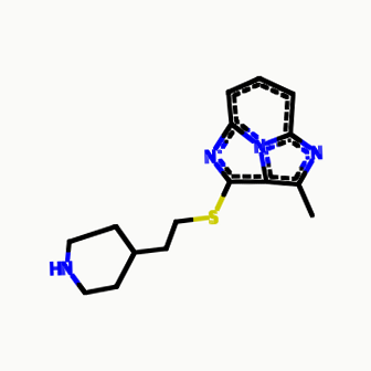 Cc1nc2cccc3nc(SCCC4CCNCC4)c1n23